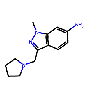 Cn1nc(CN2CCCC2)c2ccc(N)cc21